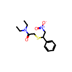 CCN(CC)C(=O)CSC(C[N+](=O)[O-])c1ccccc1